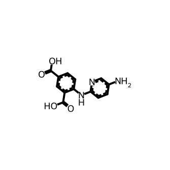 Nc1ccc(Nc2ccc(C(=O)O)cc2C(=O)O)nc1